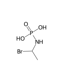 CC(Br)NP(=O)(O)O